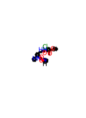 COc1cc(NC(=O)CCCc2ccc(-c3ccccc3)c(NC(=O)OC3CC4CC[C@@H](C3)N4C)c2)c(Cl)cc1CO[Si](C)(C)C(C)(C)C